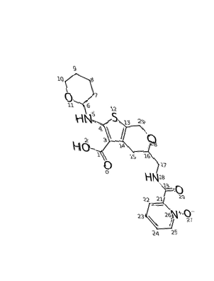 O=C(O)c1c(NC2CCCCO2)sc2c1CC(CNC(=O)c1cccc[n+]1[O-])OC2